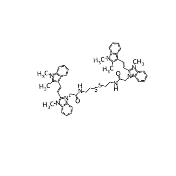 Cc1c(/C=C/c2n(C)c3ccccc3[n+]2CC(=O)NCCSSCCNC(=O)C[n+]2c(/C=C/c3c(C)n(C)c4ccccc34)n(C)c3ccccc32)c2ccccc2n1C